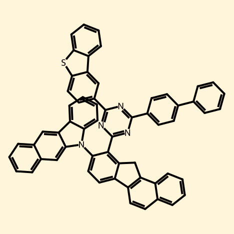 c1ccc(-c2ccc(-c3nc(-c4ccc5sc6ccccc6c5c4)nc(-c4c(-n5c6ccccc6c6cc7ccccc7cc65)ccc5c4Cc4c-5ccc5ccccc45)n3)cc2)cc1